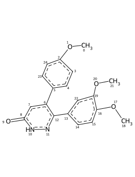 COc1ccc(-c2cc(=O)[nH]nc2-c2ccc(OC)c(OC)c2)cc1